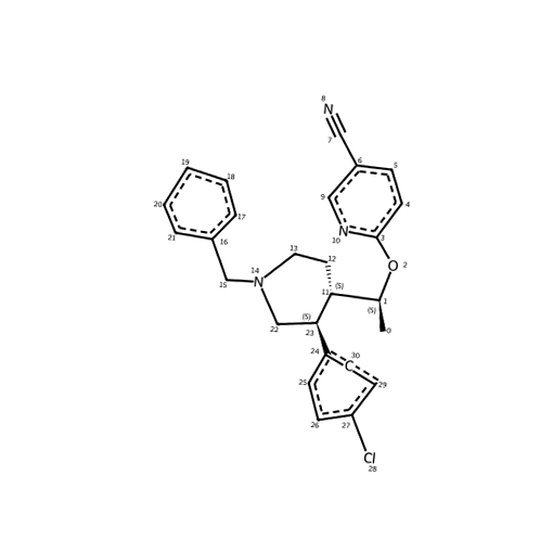 C[C@H](Oc1ccc(C#N)cn1)[C@H]1CCN(Cc2ccccc2)C[C@@H]1c1ccc(Cl)cc1